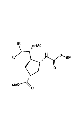 CCC(CC)[C@H](NC(C)=O)[C@@H]1C[C@@H](C(=O)OC)C[C@H]1NC(=O)OC(C)(C)C